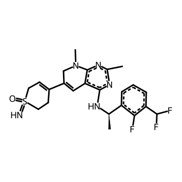 Cc1nc(N[C@H](C)c2cccc(C(F)F)c2F)c2c(n1)N(C)CC(C1=CCS(=N)(=O)CC1)=C2